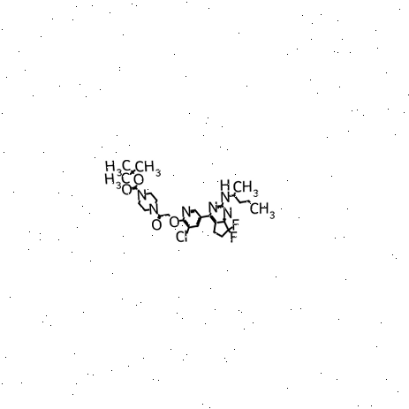 CCC[C@H](C)Nc1nc(-c2cnc(OCC(=O)N3CCN(C(=O)OC(C)(C)C)CC3)c(Cl)c2)c2c(n1)C(F)(F)CC2